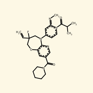 C=CC1(F)COc2cc(C(=O)N3CCCCC3)cnc2N(c2ccn(C(=O)C(C)C)/c(=N\C)c2)C1